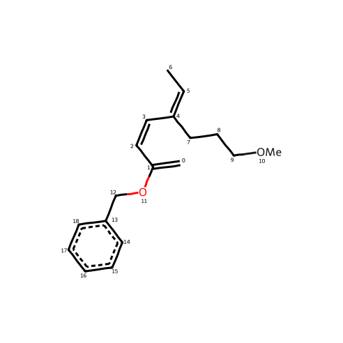 C=C(/C=C\C(=C/C)CCCOC)OCc1ccccc1